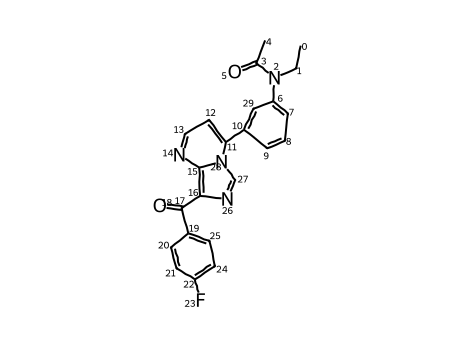 CCN(C(C)=O)c1cccc(-c2ccnc3c(C(=O)c4ccc(F)cc4)ncn23)c1